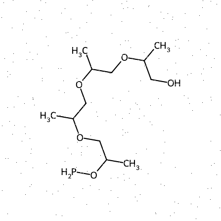 CC(COC(C)COC(C)COC(C)CO)OP